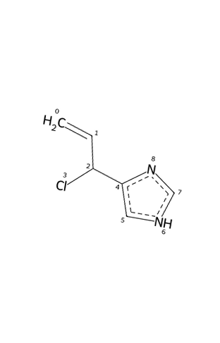 C=CC(Cl)c1c[nH]cn1